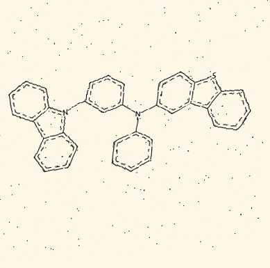 c1ccc(N(c2cccc(-n3c4ccccc4c4ccccc43)c2)c2ccc3sc4ccccc4c3c2)cc1